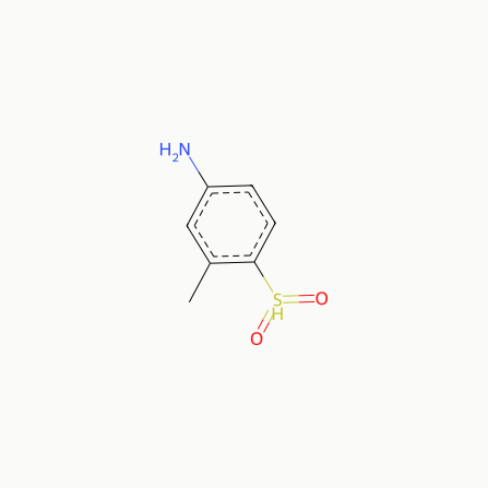 Cc1cc(N)ccc1[SH](=O)=O